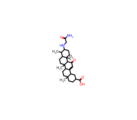 CC1C(NCC(N)=O)CCC2(C)C1CCC1(C)C3CCC4(C)CCC(C(=O)O)CC4C3=CC(=O)C12